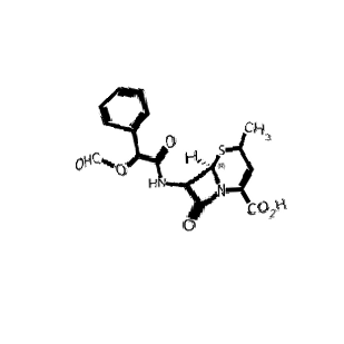 CC1C=C(C(=O)O)N2C(=O)C(NC(=O)C(OC=O)c3ccccc3)[C@H]2S1